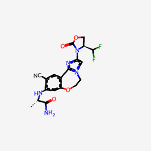 C[C@H](Nc1cc2c(cc1C#N)-c1nc(N3C(=O)OC[C@H]3C(F)F)cn1CCO2)C(N)=O